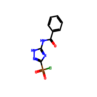 O=C(Nc1nc(S(=O)(=O)Cl)n[nH]1)c1ccccc1